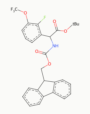 CC(C)(C)OC(=O)C(NC(=O)OCC1c2ccccc2-c2ccccc21)c1cccc(OC(F)(F)F)c1F